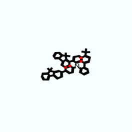 CC(C)(C)c1ccc(-c2ccccc2N(c2ccc(-c3ccc4c(c3)C(C)(C)c3ccccc3-4)cc2)c2ccccc2-c2cccc3c2C(C)(C)c2ccccc2-3)cc1